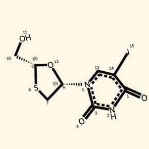 O=c1[nH]c(=O)n([C@@H]2CS[C@H](CO)O2)cc1I